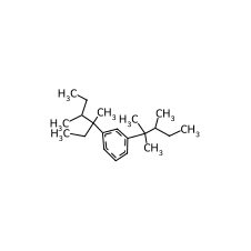 CCC(C)C(C)(C)c1cccc(C(C)(CC)C(C)CC)c1